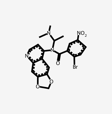 CC(N(C)C)N(C(=O)c1cc([N+](=O)[O-])ccc1Br)c1ccnc2cc3c(cc12)OCO3